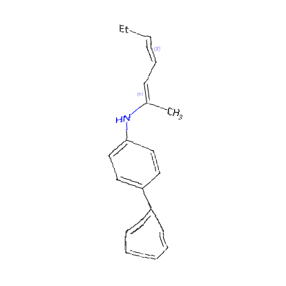 CC/C=C\C=C(/C)Nc1ccc(-c2ccccc2)cc1